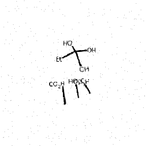 CC(=O)O.CC(=O)O.CC(=O)O.CCC(O)(O)O